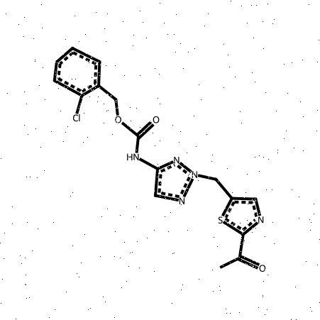 CC(=O)c1ncc(Cn2ncc(NC(=O)OCc3ccccc3Cl)n2)s1